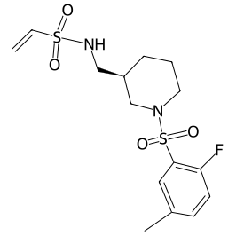 C=CS(=O)(=O)NC[C@H]1CCCN(S(=O)(=O)c2cc(C)ccc2F)C1